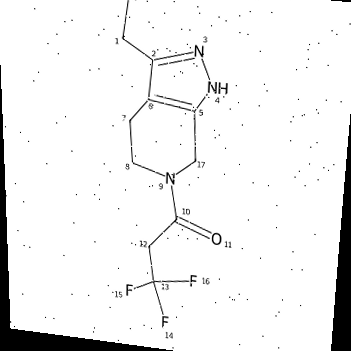 CCc1n[nH]c2c1CCN(C(=O)CC(F)(F)F)C2